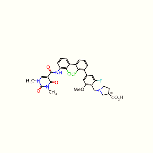 COc1cc(-c2cccc(-c3cccc(NC(=O)c4cn(C)c(=O)n(C)c4=O)c3Cl)c2Cl)cc(F)c1CN1CC[C@@H](C(=O)O)C1